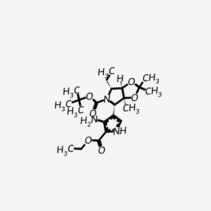 CCOC(=O)c1[nH]cc([C@@H]2N(C(=O)OC(C)(C)C)[C@H](CC)[C@H]3OC(C)(C)O[C@]32C)c1N